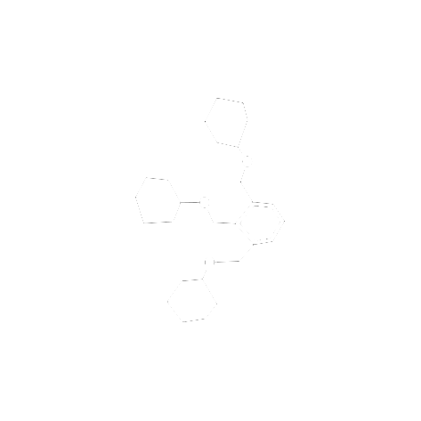 c1cc(COC2CCCCC2)c(COC2CCCCC2)c(COC2CCCCC2)c1